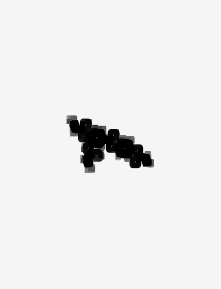 C=CC(=O)Oc1ccc(OC(=O)c2ccc(OC(=O)C=C)c(OC(=O)C=C)c2)cc1